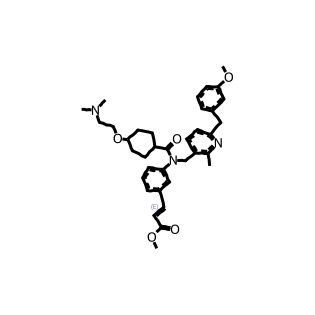 COC(=O)/C=C/c1cccc(N(Cc2ccc(Cc3cccc(OC)c3)nc2C)C(=O)C2CCC(OCCN(C)C)CC2)c1